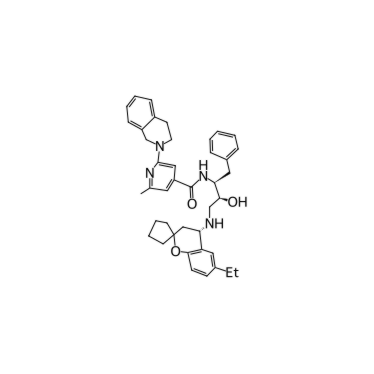 CCc1ccc2c(c1)[C@@H](NC[C@H](O)[C@H](Cc1ccccc1)NC(=O)c1cc(C)nc(N3CCc4ccccc4C3)c1)CC1(CCCC1)O2